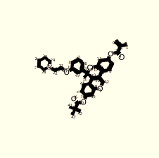 C=C(C)C(=O)Oc1ccc2c(c1)OC(C)(c1cccc(OCCN3CCCCC3)c1)C1=C2COc2cc(OC(=O)C(C)(C)C)ccc21